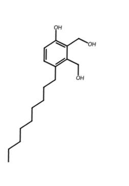 CCCCCCCCCc1ccc(O)c(CO)c1CO